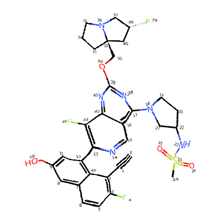 C#Cc1c(F)ccc2cc(O)cc(-c3ncc4c(N5CCC(NS(C)(=O)=O)C5)nc(OC[C@@]56CCCN5C[C@H](F)C6)nc4c3F)c12